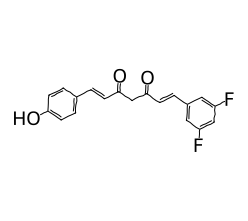 O=C(C=Cc1ccc(O)cc1)CC(=O)C=Cc1cc(F)cc(F)c1